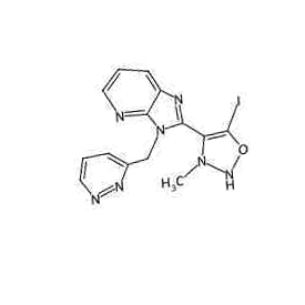 CN1NOC(I)=C1c1nc2cccnc2n1Cc1cccnn1